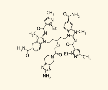 CCn1nc(C)cc1C(=O)N=c1n(C)c2cc(C(N)=O)ccc2n1CCC(CCn1c(=NC(=O)c2cc(C)nn2CC)n(C)c2cc(C(N)=O)ccc21)OCC(=O)N1CCc2nc(N)sc2C1